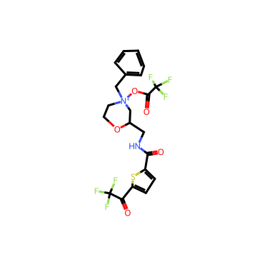 O=C(NCC1C[N+](Cc2ccccc2)(OC(=O)C(F)(F)F)CCO1)c1ccc(C(=O)C(F)(F)F)s1